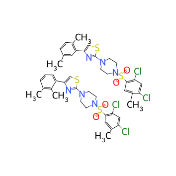 Cc1cc(S(=O)(=O)N2CCN(c3nc(-c4cccc(C)c4C)cs3)CC2)c(Cl)cc1Cl.Cc1ccc(C)c(-c2csc(N3CCN(S(=O)(=O)c4cc(C)c(Cl)cc4Cl)CC3)n2)c1